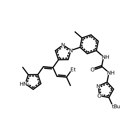 CC/C(C)=C\C(=C/c1cc[nH]c1C)c1cnn(-c2cc(NC(=O)Nc3cc(C(C)(C)C)on3)ccc2C)c1